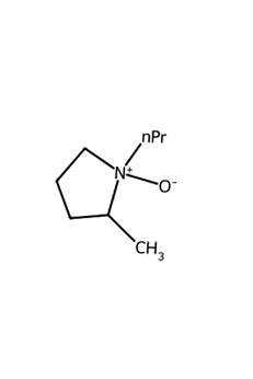 CCC[N+]1([O-])CCCC1C